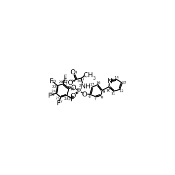 CC(NP(=O)(Oc1ccc(-c2ccccn2)cc1)Oc1c(F)c(F)c(F)c(F)c1F)C(=O)O